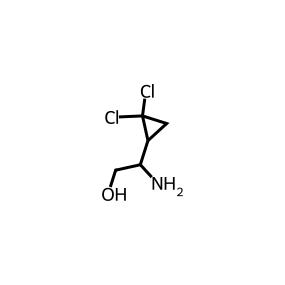 NC(CO)C1CC1(Cl)Cl